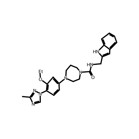 CCOc1cc(N2CCCN(C(=O)NCc3cc4ccccc4[nH]3)CC2)ccc1-n1cnc(C)n1